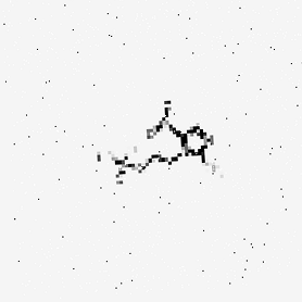 Cc1ncc([N+](=O)[O-])n1CCOP(=O)(O)O